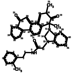 Cc1ccccc1CCNC(=O)CN1CN(C2(C)C(=O)C(C)C=c3c2ccc2c3=CC(=O)c3ccccc3-2)c2ncncc21